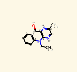 CCN(c1ccccc1)c1ncc(C)nc1C=O